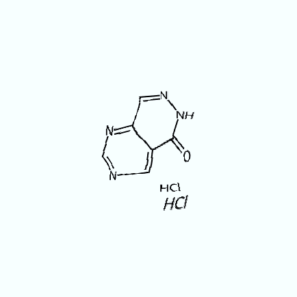 Cl.Cl.O=c1[nH]ncc2ncncc12